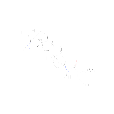 COC(CC(C)C)C(=O)N(C)[C@H]1CC[C@@]2(C)C(=CC[C@H]3[C@@H]4CC[C@@H]5[C@H](C)N(C)C[C@@]54CC[C@@H]32)C1